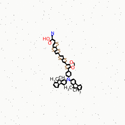 CC1(C)c2ccccc2-c2ccc(N(c3ccc(-c4sc(-c5cc6sc(-c7cc8sc9cc(/C=C(/C#N)C(=O)O)sc9c8s7)cc6s5)c5c4OCCO5)cc3)c3ccc4c(c3)C(C)(C)c3ccccc3-4)cc21